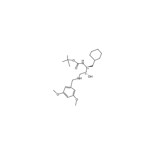 COc1cc(CNC[C@@H](O)[C@H](CC2CCCCC2)NC(=O)OC(C)(C)C)cc(OC)c1